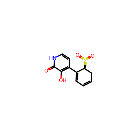 O=c1[nH]ccc(C2=CC=CCC2=S(=O)=O)c1O